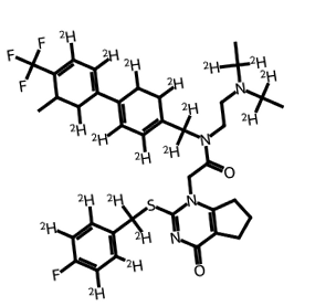 [2H]C1=C(C2=C([2H])C([2H])=C(C(F)(F)F)C(C)C2[2H])C([2H])C([2H])C(C([2H])([2H])N(CCN(C([2H])([2H])C)C([2H])([2H])C)C(=O)Cn2c(SC([2H])([2H])c3c([2H])c([2H])c(F)c([2H])c3[2H])nc(=O)c3c2CCC3)=C1[2H]